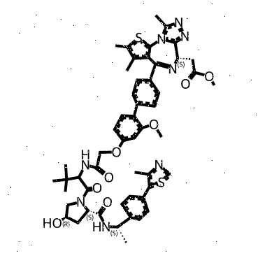 COC(=O)C[C@@H]1N=C(c2ccc(-c3ccc(OCC(=O)NC(C(=O)N4C[C@H](O)C[C@H]4C(=O)N[C@@H](C)c4ccc(-c5scnc5C)cc4)C(C)(C)C)cc3OC)cc2)c2c(sc(C)c2C)-n2c(C)nnc21